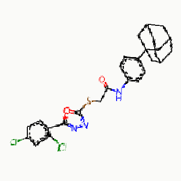 O=C(CSc1nnc(-c2ccc(Cl)cc2Cl)o1)Nc1ccc(C23CC4CC(CC(C4)C2)C3)cc1